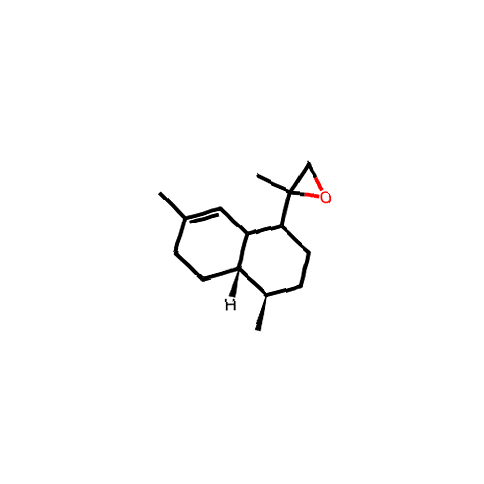 CC1=CC2C(C3(C)CO3)CC[C@@H](C)[C@@H]2CC1